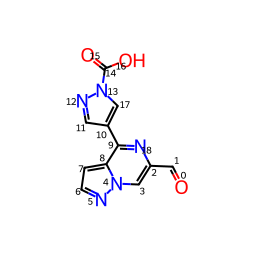 O=Cc1cn2nccc2c(-c2cnn(C(=O)O)c2)n1